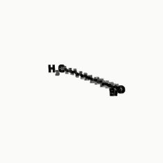 CCCCCCCCCCCCCCCCCCCCCCC(=O)Br